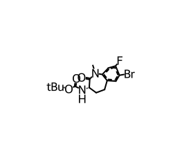 CN1C(=O)[C@@H](NC(=O)OC(C)(C)C)CCc2cc(Br)c(F)cc21